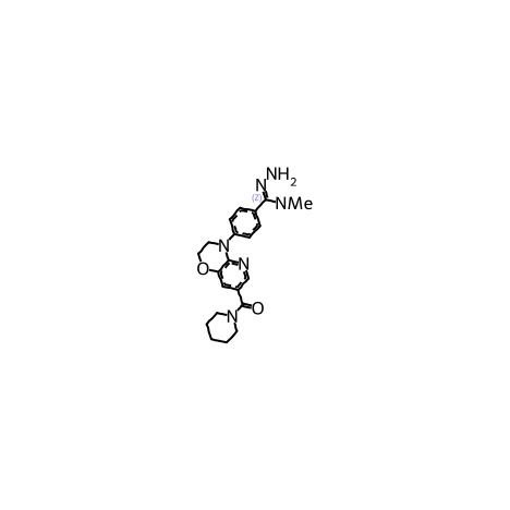 CN/C(=N\N)c1ccc(N2CCOc3cc(C(=O)N4CCCCC4)cnc32)cc1